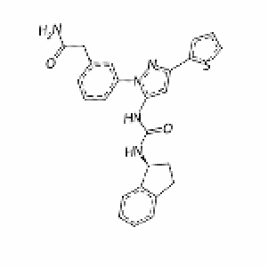 NC(=O)Cc1cccc(-n2nc(-c3cccs3)cc2NC(=O)N[C@H]2CCc3ccccc32)c1